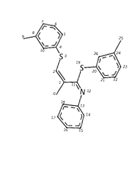 CC(=CSc1cccc(C)c1)C(=Nc1ccccc1)Sc1cccc(C)c1